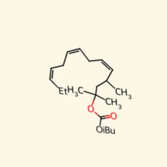 CC/C=C\C/C=C\C/C=C\C(C)CC(C)(C)OC(=O)OCC(C)C